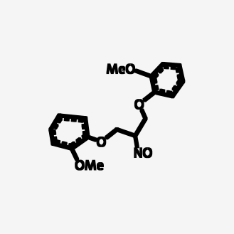 COc1ccccc1OCC(COc1ccccc1OC)N=O